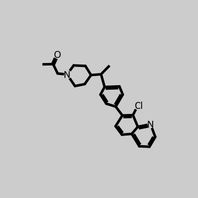 CC(=O)CN1CCC(C(C)c2ccc(-c3ccc4cccnc4c3Cl)cc2)CC1